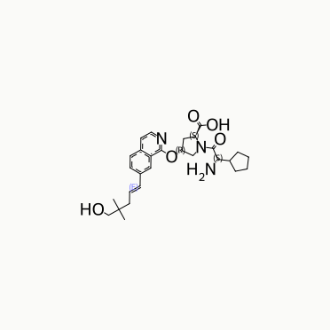 CC(C)(CO)C/C=C/c1ccc2ccnc(O[C@@H]3C[C@@H](C(=O)O)N(C(=O)[C@@H](N)C4CCCC4)C3)c2c1